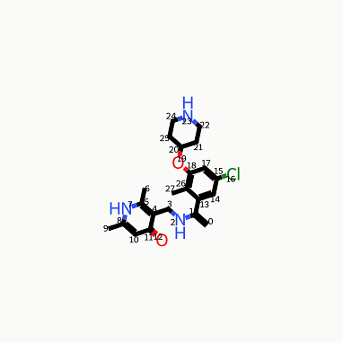 C=C(NCc1c(C)[nH]c(C)cc1=O)c1cc(Cl)cc(OC2CCNCC2)c1C